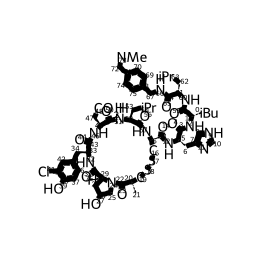 CCC(C)[C@H](NC(=O)[C@H](Cc1c[nH]cn1)NC(=O)[C@@H]1CSSC[C@H](C)C(=O)N2CC(O)C[C@H]2C(=O)N[C@@H](Cc2ccc(O)c(Cl)c2)C(=O)N[C@@H](CC(=O)O)C(=O)N[C@@H](CC(C)C)C(=O)N1)C(=O)N[C@@H](CC(C)C)C(=O)NCc1ccc(CNC)cc1